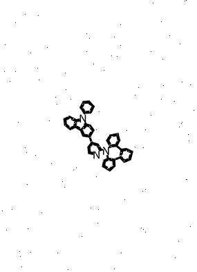 c1ccc(-n2c3ccccc3c3cc(-c4ccnc(N5c6ccccc6-c6ccccc6-c6ccccc65)c4)ccc32)cc1